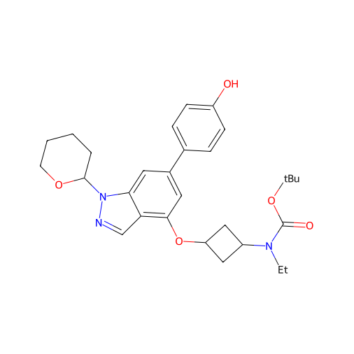 CCN(C(=O)OC(C)(C)C)C1CC(Oc2cc(-c3ccc(O)cc3)cc3c2cnn3C2CCCCO2)C1